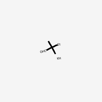 CCC(C)(C)C=O.[KH]